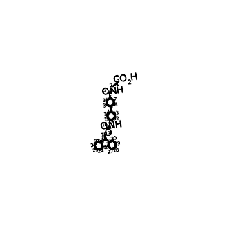 O=C(O)CCNC(=O)c1ccc(-c2ccc(NC(=O)OCC3c4ccccc4-c4ccccc43)cc2)cc1